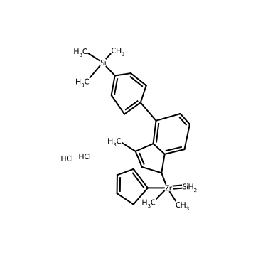 CC1=C[CH]([Zr]([CH3])([CH3])(=[SiH2])[C]2=CC=CC2)c2cccc(-c3ccc([Si](C)(C)C)cc3)c21.Cl.Cl